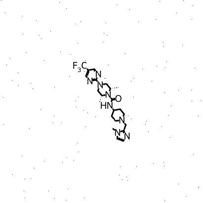 C[C@@H]1CN(c2ncc(C(F)(F)F)cn2)C[C@H](C)N1C(=O)NC1CCN(Cc2nccn2C)CC1